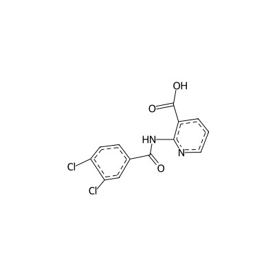 O=C(Nc1ncccc1C(=O)O)c1ccc(Cl)c(Cl)c1